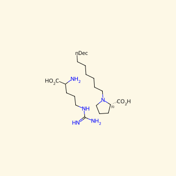 CCCCCCCCCCCCCCCCN1CCC[C@H]1C(=O)O.N=C(N)NCCCC(N)C(=O)O